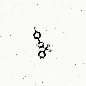 CCC(O)(c1ccncc1)c1cnc(-c2ccc(F)cc2)s1